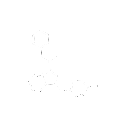 CC(C)c1ccc(Cn2cc(C(Cc3ccccc3)C(=O)O)c3ccccc32)cc1